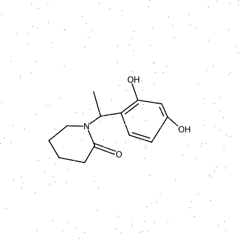 CC(c1ccc(O)cc1O)N1CCCCC1=O